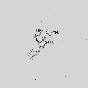 CCc1c[nH]c2ncc3c(-c4ccsc4)nn(C)c3c12